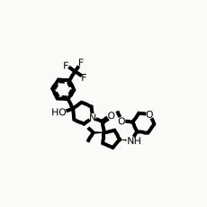 COC1COCCC1N[C@@H]1CC[C@@](C(=O)N2CCC(O)(c3cccc(C(F)(F)F)c3)CC2)(C(C)C)C1